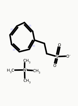 C[N+](C)(C)C.O=S(=O)([O-])CCC1=C/C=C\C=C/C=C\1